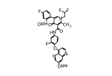 COc1cnc2c(Oc3ccc(NC(=O)c4c(C)n(CC(F)F)cc(-c5ccc(F)cc5OC)c4=O)cc3F)ccnc2c1